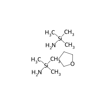 C1CCOC1.C[Si](C)(C)N.C[Si](C)(C)N